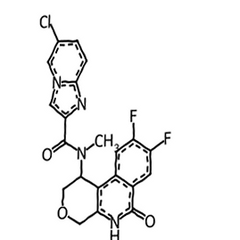 CN(C(=O)c1cn2cc(Cl)ccc2n1)C1COCc2[nH]c(=O)c3cc(F)c(F)cc3c21